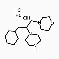 C1CCC(CC(CN2CCOCC2)N2CCNCC2)CC1.Cl.Cl.Cl